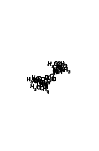 COC(=O)N[C@H](C(=O)N(Cc1ncc(-c2cc3c4c(c2)OCc2cc(-c5cnc(CN(CC(C)C)C(=O)[C@H](N)c6ccccc6)[nH]5)cc(c2-4)OC3)[nH]1)CC(C)C)C(C)C